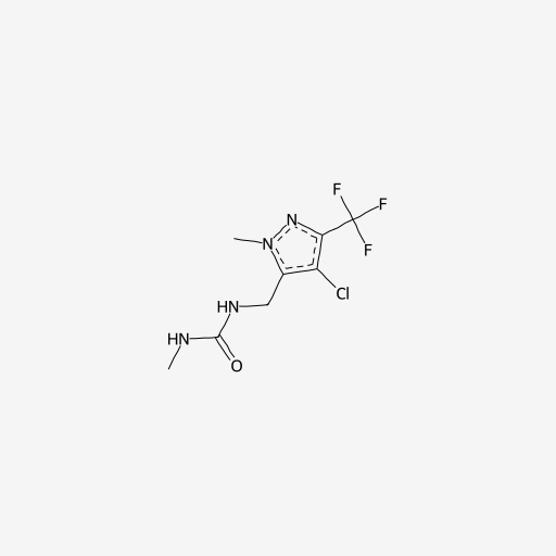 CNC(=O)NCc1c(Cl)c(C(F)(F)F)nn1C